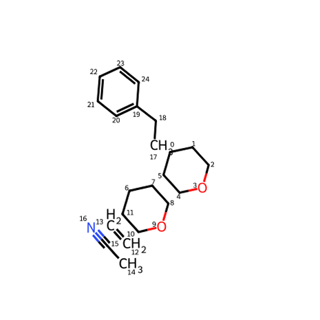 C1CCOCC1.C1CCOCC1.C=C.CC#N.CCc1ccccc1